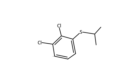 CC(C)Sc1cc[c]c(Cl)c1Cl